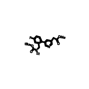 CCN(Cc1cc(F)ccc1-c1cncc(CC(=O)OC)c1)C(=O)OC(C)(C)C